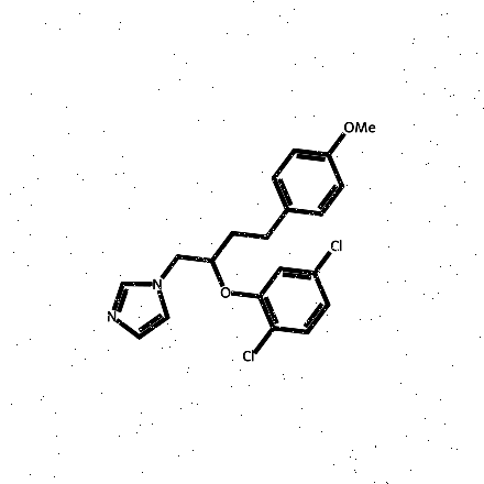 COc1ccc(CCC(Cn2ccnc2)Oc2cc(Cl)ccc2Cl)cc1